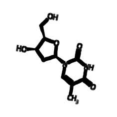 Cc1cn([C@H]2C[C@@H](O)[C@@H](CO)O2)c(=O)[nH]c1=O